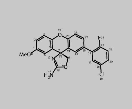 COc1ccc2c(c1)[C@]1(COC(N)=N1)c1cc(-c3cc(Cl)ccc3F)ccc1O2